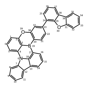 c1cc2c3c(c1)-n1c4ccccc4c4cccc(c41)B3c1ccc(-c3cccc4c3oc3ccccc34)cc1O2